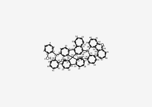 Cc1ccccc1N(c1ccc2c(c1)C1(c3ccccc3-c3ccccc31)c1cc(N(c3ccccc3C)c3cccc4oc5ccccc5c34)c3ccccc3c1-2)c1ccccc1C